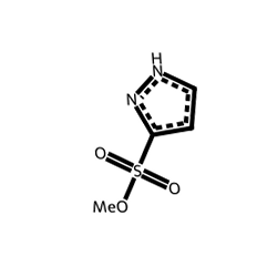 COS(=O)(=O)c1cc[nH]n1